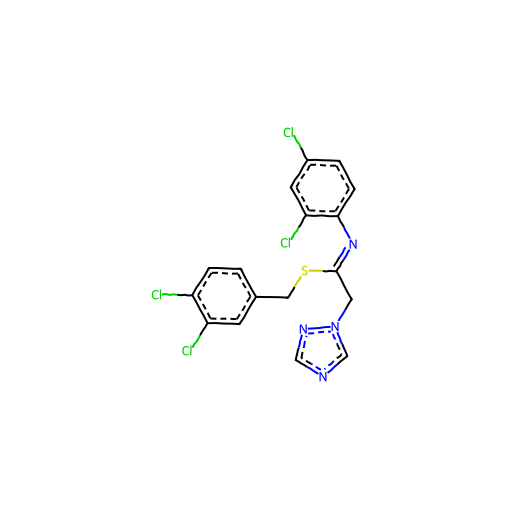 Clc1ccc(N=C(Cn2cncn2)SCc2ccc(Cl)c(Cl)c2)c(Cl)c1